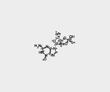 CCC[C@H]1O[C@@H](n2cnc3c(=O)[nH]c(N)nc32)C[C@H]1OP(O)(=S)OC